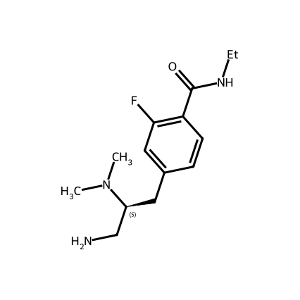 CCNC(=O)c1ccc(C[C@@H](CN)N(C)C)cc1F